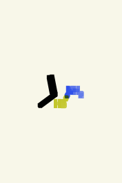 C=CC.NS